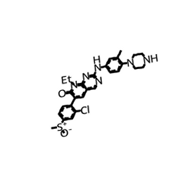 CCn1c(=O)c(-c2ccc([S+](C)[O-])cc2Cl)cc2cnc(Nc3ccc(N4CCNCC4)c(C)c3)nc21